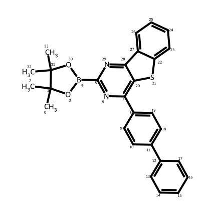 CC1(C)OB(c2nc(-c3ccc(-c4ccccc4)cc3)c3sc4ccccc4c3n2)OC1(C)C